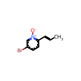 CC=Cc1ccc(Br)c[n+]1[O-]